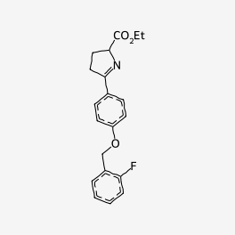 CCOC(=O)C1CCC(c2ccc(OCc3ccccc3F)cc2)=N1